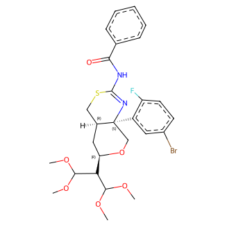 COC(OC)C(C(OC)OC)[C@H]1C[C@H]2CSC(NC(=O)c3ccccc3)=N[C@@]2(c2cc(Br)ccc2F)CO1